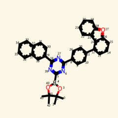 CC1(C)OB(c2nc(-c3ccc(-c4cccc5oc6ccccc6c45)cc3)nc(-c3ccc4ccccc4c3)n2)OC1(C)C